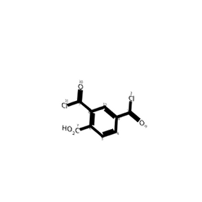 O=C(Cl)c1ccc(C(=O)O)c(C(=O)Cl)c1